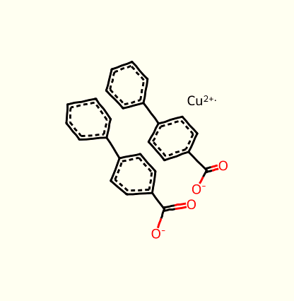 O=C([O-])c1ccc(-c2ccccc2)cc1.O=C([O-])c1ccc(-c2ccccc2)cc1.[Cu+2]